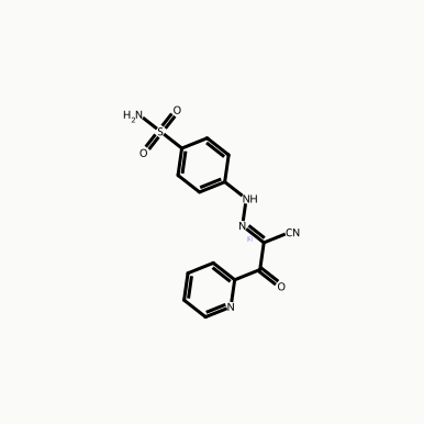 N#C/C(=N\Nc1ccc(S(N)(=O)=O)cc1)C(=O)c1ccccn1